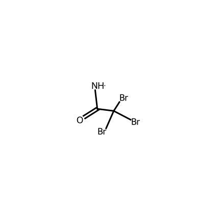 [NH]C(=O)C(Br)(Br)Br